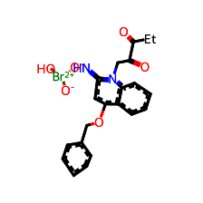 CCC(=O)C(=O)Cn1c(=N)cc(OCc2ccccc2)c2ccccc21.[O-][Br+2]([O-])O